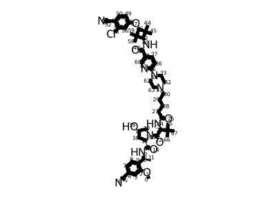 COc1cc(C#N)ccc1[C@H](C)NC(=O)[C@@H]1C[C@@H](O)CN1C(=O)C(NC(=O)CCCCN1CCN(c2ccc(C(=O)NC3C(C)(C)C(Oc4ccc(C#N)c(Cl)c4)C3(C)C)cn2)CC1)C(C)(C)C